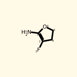 NC1=C(F)CCO1